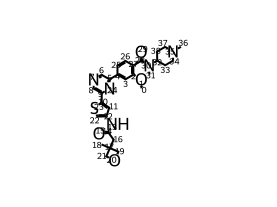 COc1cc(-c2cncc(-c3cc(NC(=O)CC4(C)COC4)cs3)n2)ccc1C(=O)N(C)C1CCN(C)CC1